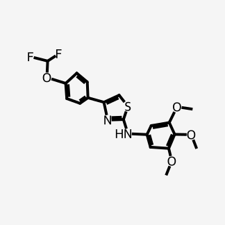 COc1cc(Nc2nc(-c3ccc(OC(F)F)cc3)cs2)cc(OC)c1OC